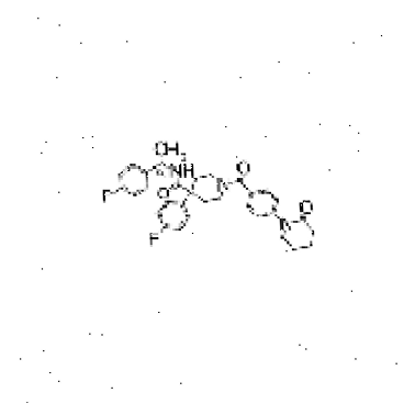 C[C@H](NC(=O)C1(c2ccc(F)cc2)CCN(C(=O)c2ccc(N3CCCCC3=O)cc2)CC1)c1ccc(F)cc1